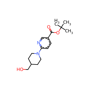 CC(C)(C)OC(=O)c1ccc(N2CCC(CO)CC2)nc1